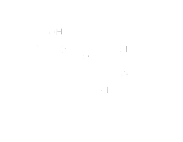 C/C=C(/C(=O)O)c1ccccc1CCOc1cc(Cl)c(OCC(C)C)c(Cl)c1